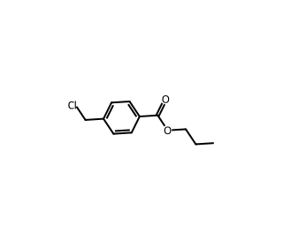 CCCOC(=O)c1ccc(CCl)cc1